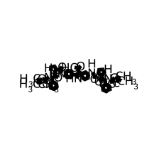 CC(C)(C)OC(=O)N[C@H](C(=O)N1CCCC1C(=O)Nc1ccc(-c2[nH]c3ccc(NC(=O)[C@@H]4CCCN4C(=O)[C@H](NC(=O)OC(C)(C)C)c4ccccc4)cc3c2C(=O)O)cc1)c1ccccc1